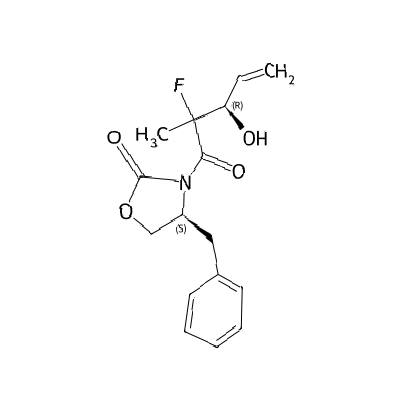 C=C[C@@H](O)C(C)(F)C(=O)N1C(=O)OC[C@@H]1Cc1ccccc1